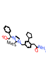 CSC1N(Cc2ccc(CC(N)=O)c(C3CCCC3)c2)C=CN1[C@@H](CO)c1ccccc1